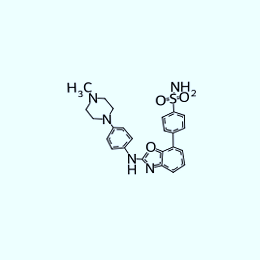 CN1CCN(c2ccc(Nc3nc4cccc(-c5ccc(S(N)(=O)=O)cc5)c4o3)cc2)CC1